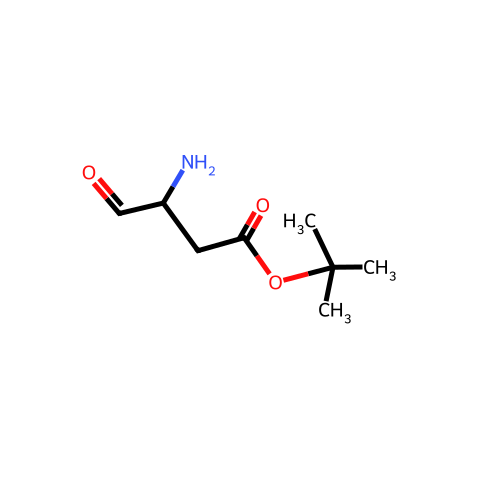 CC(C)(C)OC(=O)CC(N)C=O